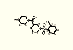 CC1CCN(C(=O)C2CCCN(S(=O)(=O)c3ccccc3Cl)C2)CC1